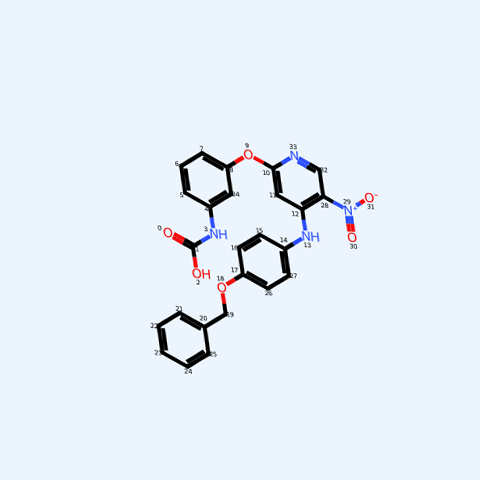 O=C(O)Nc1cccc(Oc2cc(Nc3ccc(OCc4ccccc4)cc3)c([N+](=O)[O-])cn2)c1